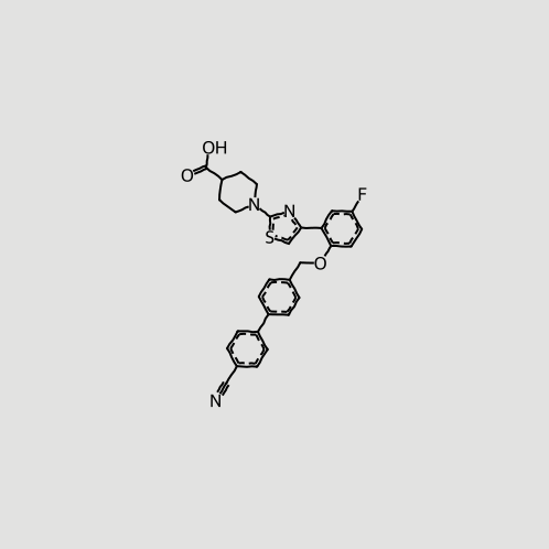 N#Cc1ccc(-c2ccc(COc3ccc(F)cc3-c3csc(N4CCC(C(=O)O)CC4)n3)cc2)cc1